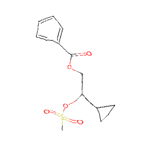 CS(=O)(=O)OC(COC(=O)c1ccccc1)C1CC1